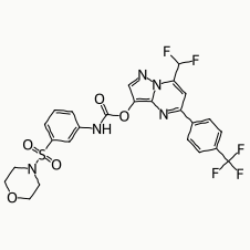 O=C(Nc1cccc(S(=O)(=O)N2CCOCC2)c1)Oc1cnn2c(C(F)F)cc(-c3ccc(C(F)(F)F)cc3)nc12